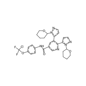 O=C(Nc1ccc(OC(F)(F)Cl)cc1)c1cnc(-c2ccnn2C2CCCCO2)c(-c2ccnn2C2CCCCO2)c1